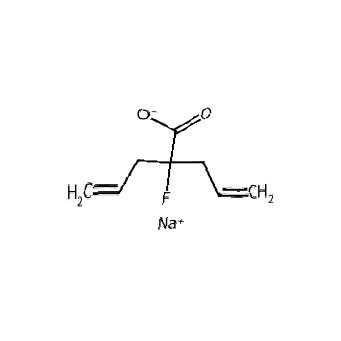 C=CCC(F)(CC=C)C(=O)[O-].[Na+]